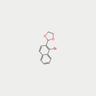 Brc1c(C2OCCO2)ccc2ccccc12